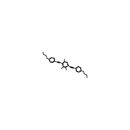 CCCCc1ccc(C#Cc2cc(C)c(C#Cc3ccc(CCCC)cc3)c(C)c2C)cc1